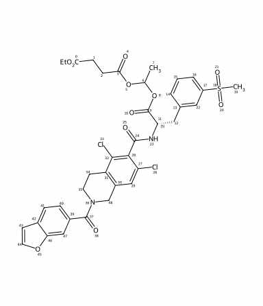 CCOC(=O)CCC(=O)OC(C)OC(=O)[C@H](Cc1cccc(S(C)(=O)=O)c1)NC(=O)c1c(Cl)cc2c(c1Cl)CCN(C(=O)c1ccc3ccoc3c1)C2